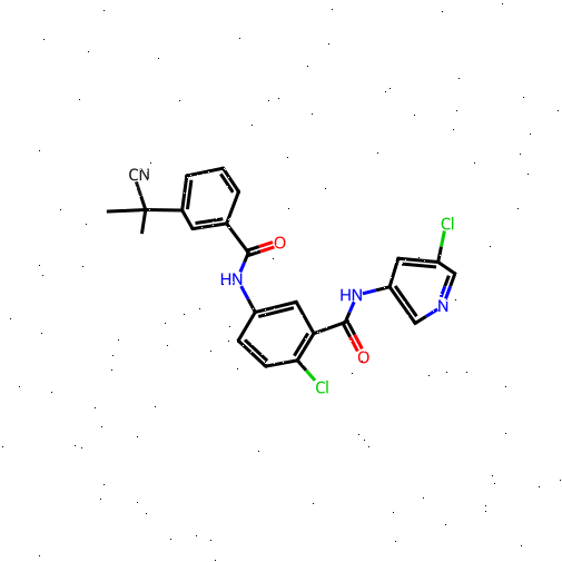 CC(C)(C#N)c1cccc(C(=O)Nc2ccc(Cl)c(C(=O)Nc3cncc(Cl)c3)c2)c1